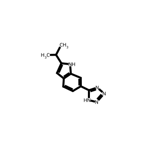 CC(C)c1cc2ccc(-c3nnn[nH]3)cc2[nH]1